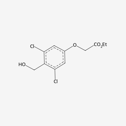 CCOC(=O)COc1cc(Cl)c(CO)c(Cl)c1